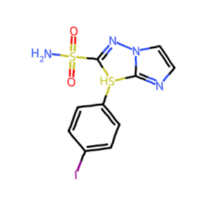 NS(=O)(=O)C1=Nn2ccnc2[SH]1c1ccc(I)cc1